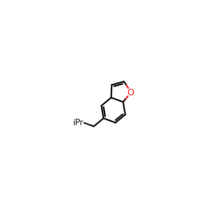 CC(C)CC1=CC2C=COC2C=C1